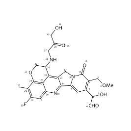 COCc1c(C(O)C=O)cc2n(c1=O)Cc1c-2nc2cc(F)c(C)c3c2c1C(NCC(=O)CO)CO3